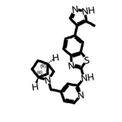 Cc1[nH]ncc1-c1ccc2nc(Nc3cc(CN4C[C@@H]5CC[C@@H]4C5)ccn3)sc2c1